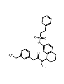 COc1cccc(CC(=O)N(C)C2CCCc3ccc(NS(=O)(=O)CCc4ccccc4)cc32)c1